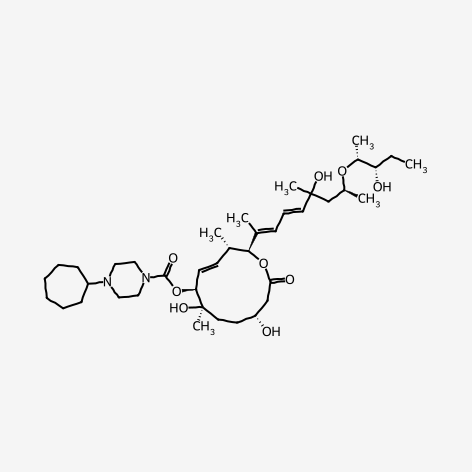 CC[C@H](O)[C@@H](C)O[C@@H](C)CC(C)(O)/C=C/C=C(\C)[C@H]1OC(=O)C[C@H](O)CC[C@@](C)(O)[C@@H](OC(=O)N2CCN(C3CCCCCC3)CC2)/C=C/[C@@H]1C